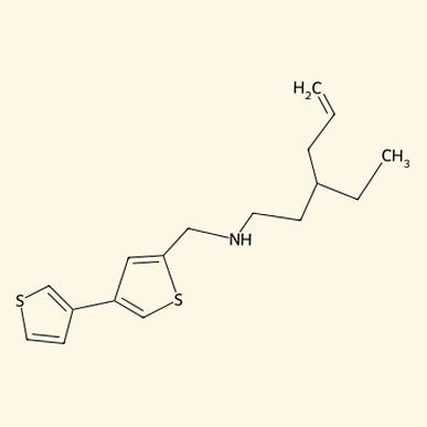 C=CCC(CC)CCNCc1cc(-c2ccsc2)cs1